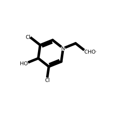 O=[C]CN1C=C(Cl)C(O)C(Cl)=C1